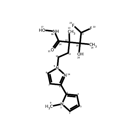 Cn1cccc1-c1ccn(CCC(C)(C(=O)NO)C(C)(O)C(F)F)n1